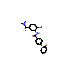 CN(C)C(=O)C1CCC(N)C(NC(=O)c2ccc(-n3ccccc3=O)cc2)C1